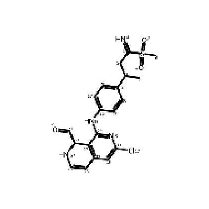 CC(CC(=N)S(C)(=O)=O)c1ccc(Nc2nc(Cl)cc3c2C(C=O)NC=C3)cc1